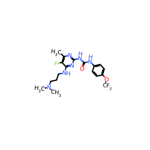 Cc1nc(NC(=O)Nc2ccc(OC(F)(F)F)cc2)nc(NCCCN(C)C)c1F